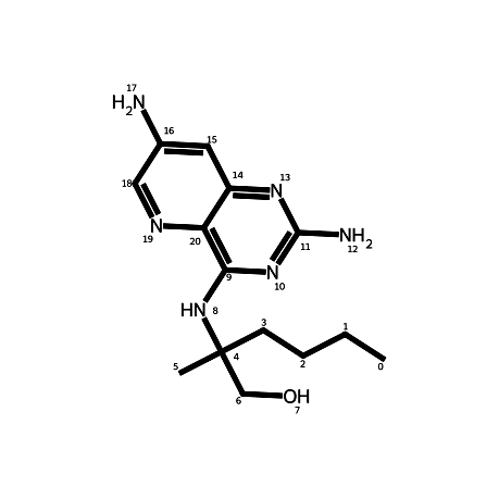 CCCCC(C)(CO)Nc1nc(N)nc2cc(N)cnc12